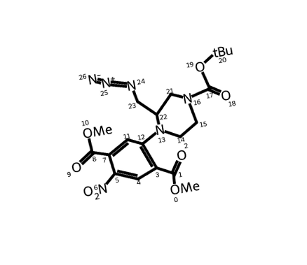 COC(=O)c1cc([N+](=O)[O-])c(C(=O)OC)cc1N1CCN(C(=O)OC(C)(C)C)CC1CN=[N+]=[N-]